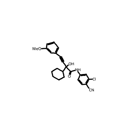 COc1cccc(C#CC(O)(C(=O)Nc2ccc(C#N)c(Cl)c2)C2CCCCC2)c1